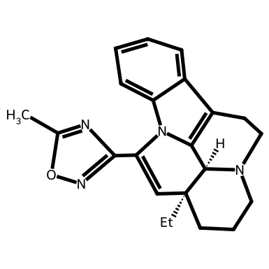 CC[C@@]12C=C(c3noc(C)n3)n3c4c(c5ccccc53)CCN(CCC1)[C@H]42